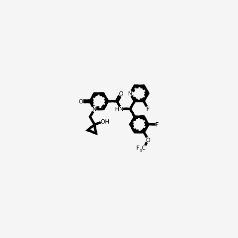 O=C(NC(c1ccc(OC(F)(F)F)c(F)c1)c1ncccc1F)c1ccc(=O)n(CC2(O)CC2)c1